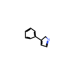 C1=NCC(c2ccccc2)=C1